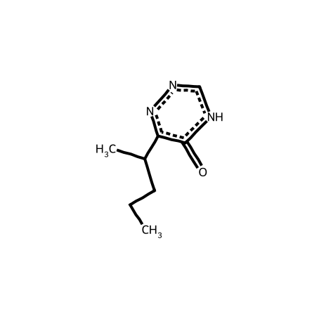 CCCC(C)c1nnc[nH]c1=O